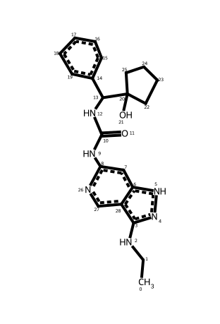 CCNc1n[nH]c2cc(NC(=O)NC(c3ccccc3)C3(O)CCCC3)ncc12